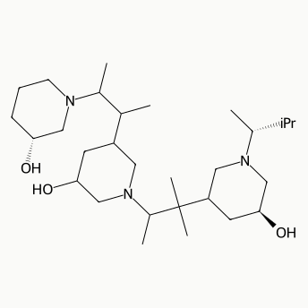 CC(C1CC(O)CN(C(C)C(C)(C)C2C[C@H](O)CN([C@H](C)C(C)C)C2)C1)C(C)N1CCC[C@@H](O)C1